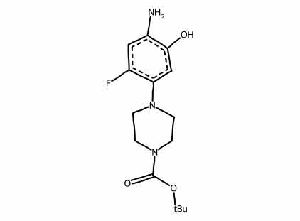 CC(C)(C)OC(=O)N1CCN(c2cc(O)c(N)cc2F)CC1